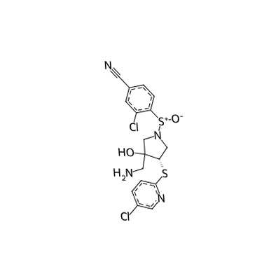 N#Cc1ccc([S+]([O-])N2C[C@H](Sc3ccc(Cl)cn3)C(O)(CN)C2)c(Cl)c1